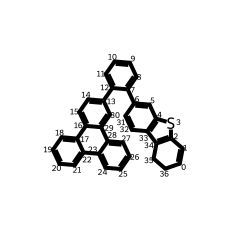 C1=Cc2sc3cc(-c4ccccc4-c4ccc5c6ccccc6c6ccccc6c5c4)ccc3c2CC1